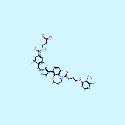 Cc1c(Cl)cccc1OCCCC(=O)N1CCCOc2c(-c3cnn(Cc4c(F)cc(C(=O)NCCC(=O)O)cc4F)c3)cccc21